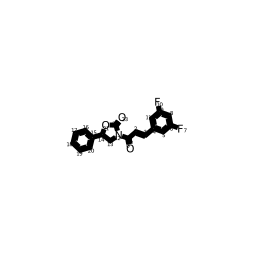 O=C(C=Cc1cc(F)cc(F)c1)N1CC(c2ccccc2)OC1=O